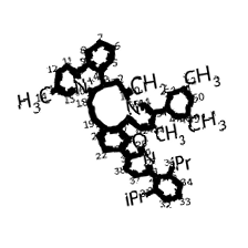 C=C1CC2c3ccccc3-c3ccc(C)c[n+]3C2CCc2ccc3c(oc4nc(-c5c(C(C)C)cccc5C(C)C)ccc43)c2-c2cc(C)c(C3CC(C)CC(C)C3)c[n+]21